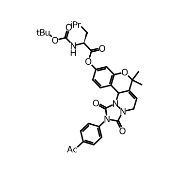 CC(=O)c1ccc(-n2c(=O)n3n(c2=O)C2C(=CC3)C(C)(C)Oc3cc(OC(=O)[C@H](CC(C)C)NC(=O)OC(C)(C)C)ccc32)cc1